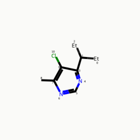 CCC(CC)c1ncnc(C)c1Cl